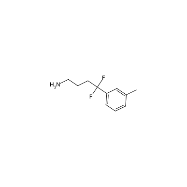 Cc1cccc(C(F)(F)CCCN)c1